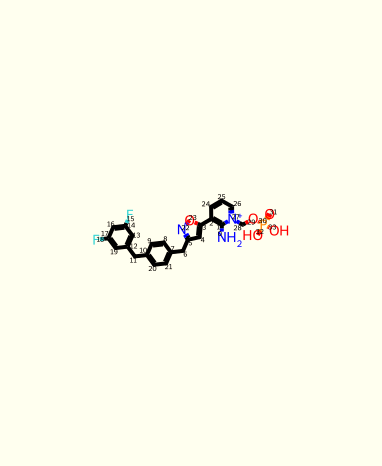 Nc1c(-c2cc(Cc3ccc(Cc4cc(F)cc(F)c4)cc3)no2)ccc[n+]1COP(=O)(O)O